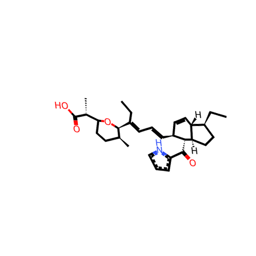 CC/C(=C\C=C\[C@H]1C=C[C@@H]2[C@@H](CC)CC[C@H]2[C@@H]1C(=O)c1ccc[nH]1)[C@@H]1OC([C@@H](C)C(=O)O)CC[C@@H]1C